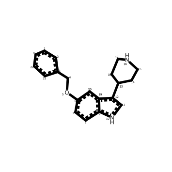 c1ccc(COc2ccc3[nH]cc(C4CCNCC4)c3c2)cc1